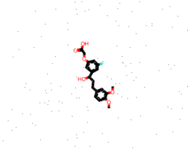 COc1ccc(CCC(O)c2cc(F)cc(OCC(=O)O)c2)cc1OC